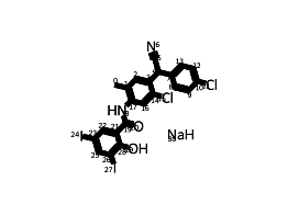 Cc1cc(C(C#N)c2ccc(Cl)cc2)c(Cl)cc1NC(=O)c1cc(I)cc(I)c1O.[NaH]